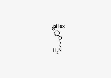 CCCCCCOc1ccc(OCCCCN)cc1